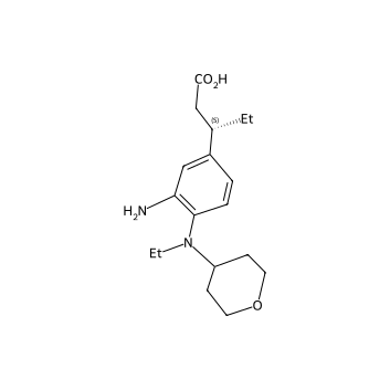 CC[C@@H](CC(=O)O)c1ccc(N(CC)C2CCOCC2)c(N)c1